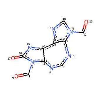 O=Cn1c2ncnc3c(ncn3C=O)c-2nc1=O